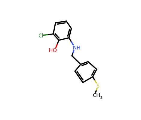 CSc1ccc(CNc2cccc(Cl)c2O)cc1